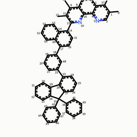 Cc1cnc2c(ccc3c(C)c(C)c(-c4ccc(-c5cccc(-c6cccc7c6-c6ccccc6C7(c6ccccc6)c6ccccc6)c5)c5ccccc45)nc32)c1C